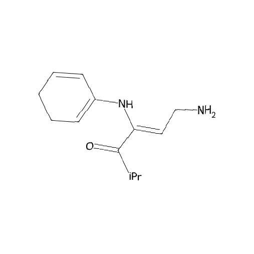 CC(C)C(=O)/C(=C/CN)NC1=CCCC=C1